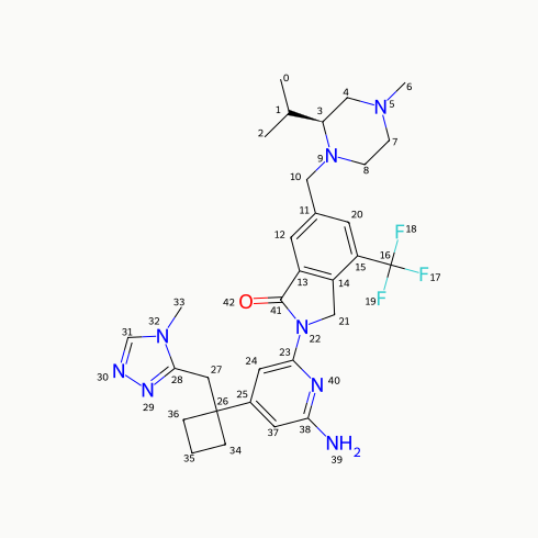 CC(C)[C@H]1CN(C)CCN1Cc1cc2c(c(C(F)(F)F)c1)CN(c1cc(C3(Cc4nncn4C)CCC3)cc(N)n1)C2=O